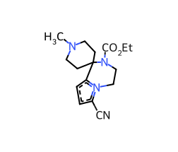 CCOC(=O)N1CCn2c(C#N)ccc2C12CCN(C)CC2